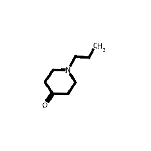 CCCN1CCC(=O)CC1